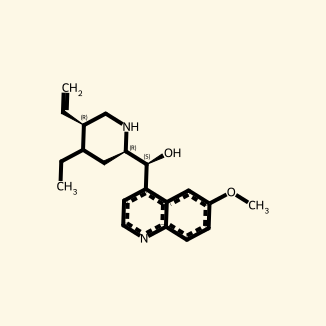 C=C[C@H]1CN[C@@H]([C@@H](O)c2ccnc3ccc(OC)cc23)CC1CC